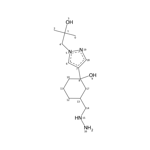 CC(C)(O)Cn1cc(C2(O)CCCC(CNN)C2)cn1